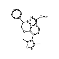 COc1nn2c3c(c(-c4c(C)noc4C)ccc13)OCC2c1ccccc1